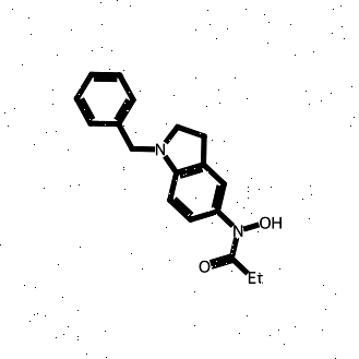 CCC(=O)N(O)c1ccc2c(c1)CCN2Cc1ccccc1